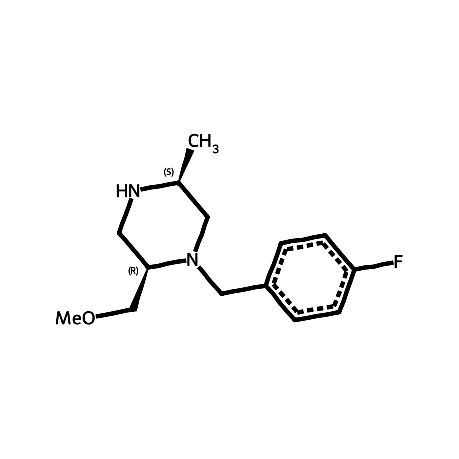 COC[C@H]1CN[C@@H](C)CN1Cc1ccc(F)cc1